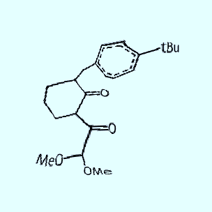 COC(OC)C(=O)C1CCCC(Cc2ccc(C(C)(C)C)cc2)C1=O